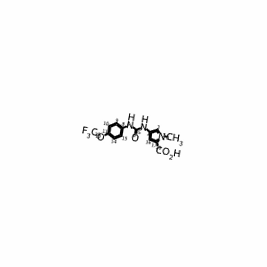 Cn1cc(NC(=O)Nc2ccc(OC(F)(F)F)cc2)cc1C(=O)O